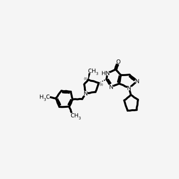 Cc1ccc(CN2C[C@@H](C)[C@H](c3nc4c(cnn4C4CCCC4)c(=O)[nH]3)C2)c(C)c1